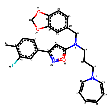 Cc1ccc(-c2cc(N(CCCN3C=CC=CC=C3)Cc3ccc4c(c3)OCO4)on2)cc1F